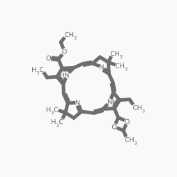 CCOC(=O)c1c(CC)c2cc3nc(cc4[nH]c(cc5nc(cc1[nH]2)CC5(C)C)c(CC)c4C1OC(C)O1)CC3(C)C